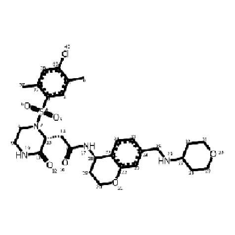 Cc1cc(S(=O)(=O)N2CCNC(=O)[C@H]2CC(=O)N[C@@H]2CCOc3cc(CNC4CCOCC4)ccc32)c(C)cc1Cl